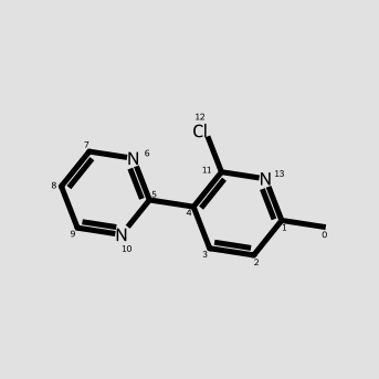 Cc1ccc(-c2ncccn2)c(Cl)n1